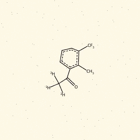 [2H]C([2H])([2H])C(=O)c1cccc(C(F)(F)F)c1C